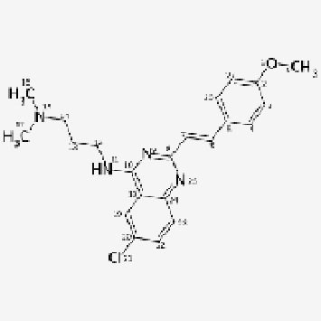 COc1ccc(C=Cc2nc(NCCCN(C)C)c3cc(Cl)ccc3n2)cc1